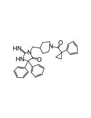 N=C1NC(c2ccccc2)(c2ccccc2)C(=O)N1CC1CCN(C(=O)C2(c3ccccc3)CC2)CC1